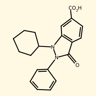 O=C(O)c1ccc2c(=O)n(-c3ccccc3)n(C3CCCCC3)c2c1